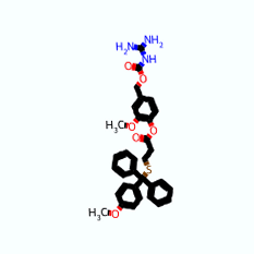 COc1ccc(C(SCCC(=O)Oc2ccc(COC(=O)NC(N)N)cc2OC)(c2ccccc2)c2ccccc2)cc1